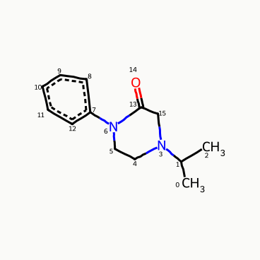 CC(C)N1CCN(c2ccccc2)C(=O)C1